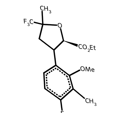 CCOC(=O)[C@@H]1OC(C)(C(F)(F)F)CC1c1ccc(F)c(C)c1OC